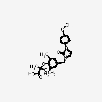 COc1ccc(-n2ccn(Cc3cc(C)c(OC(C)(C)C(=O)O)c(C)c3)c2=O)cc1